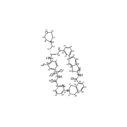 O=C(NS(=O)(=O)c1ccc(N[C@H](CCN2CCOCC2)CSc2ccccc2)c(F)c1)c1cccc(N2CCc3cccc(C(=O)Nc4nc5ccccc5s4)c3C2)n1